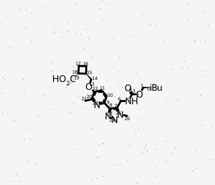 CC[C@H](C)COC(=O)NCc1c(-c2ccc(OC[C@@H]3CC[C@H]3C(=O)O)c(C)n2)nnn1C